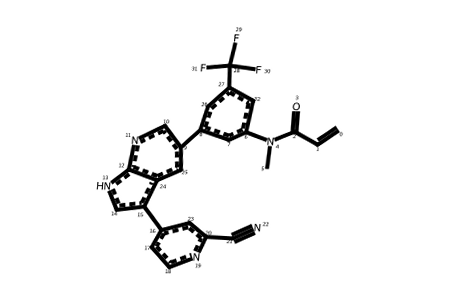 C=CC(=O)N(C)c1cc(-c2cnc3[nH]cc(-c4ccnc(C#N)c4)c3c2)cc(C(F)(F)F)c1